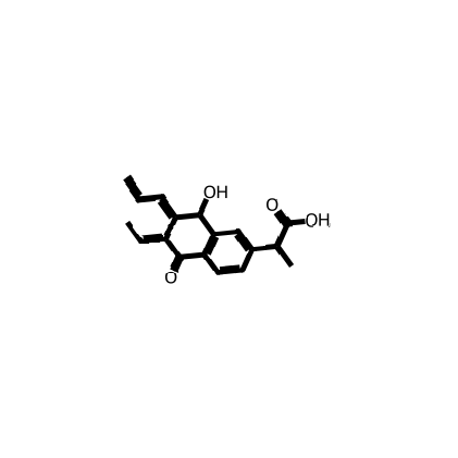 C=C/C=C1\C(=C/C)C(=O)c2ccc(C(C)C(=O)O)cc2C1O